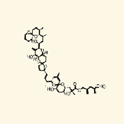 C=C(C=O)CC(=C)COC(=O)[C@](C)(O)C[C@@H]1CC[C@@H](O)[C@]2(C=C(C)C[C@@H]([C@H](C)/C=C/[C@H]3CC[C@@]4(CC[C@H]5O[C@H]([C@@H](O)C[C@H](C)[C@H]6O[C@@]7(CCCCO7)CC[C@H]6C)C(=C)[C@@H](O)[C@@H]5O4)O3)O2)O1